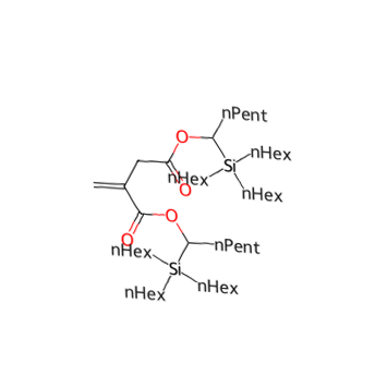 C=C(CC(=O)OC(CCCCC)[Si](CCCCCC)(CCCCCC)CCCCCC)C(=O)OC(CCCCC)[Si](CCCCCC)(CCCCCC)CCCCCC